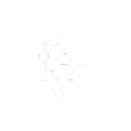 CCCCc1nc2ccc(N3CCCN(Cc4ccccc4)C3=O)cc2n1Cc1ccc(-c2ccccc2OC(=O)O)cc1.O